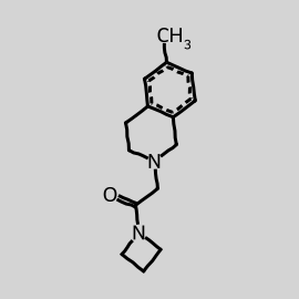 Cc1ccc2c(c1)CCN(CC(=O)N1CCC1)C2